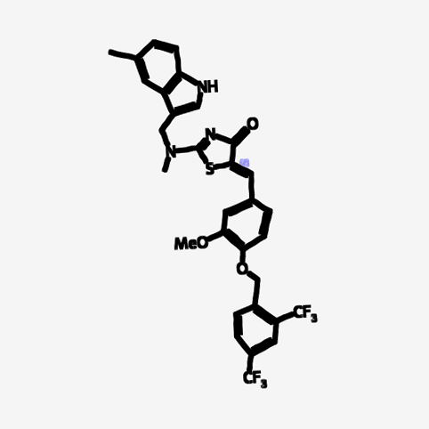 COc1cc(/C=C2\SC(N(C)Cc3c[nH]c4ccc(C)cc34)=NC2=O)ccc1OCc1ccc(C(F)(F)F)cc1C(F)(F)F